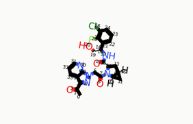 CC(=O)c1nn(CC(=O)N2[C@@H]3C[C@@H]3C[C@H]2C(=O)N[C@H](CO)c2cccc(Cl)c2F)c2ncccc12